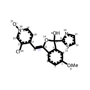 COc1ccc2c(c1)C(O)(c1nccs1)O/C2=C\c1cc[n+]([O-])cc1Cl